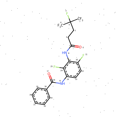 O=C(CCC(F)(C(F)(F)F)C(F)(F)F)Nc1c(F)ccc(NC(=O)c2ccccc2)c1F